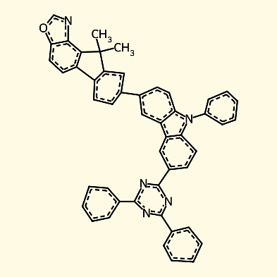 CC1(C)c2cc(-c3ccc4c(c3)c3cc(-c5nc(-c6ccccc6)nc(-c6ccccc6)n5)ccc3n4-c3ccccc3)ccc2-c2ccc3ocnc3c21